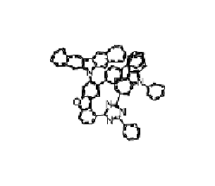 c1ccc(-c2ccc(-c3cc4c(cc3-n3c5cc6ccccc6cc5c5cc6ccccc6cc53)oc3cccc(-c5nc(-c6ccccc6)nc(-c6ccc7c8ccccc8n(-c8ccccc8)c7c6)n5)c34)cc2)cc1